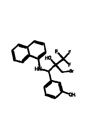 Oc1cccc(C(Nc2cccc3ccccc23)C(O)(CBr)C(F)(F)F)c1